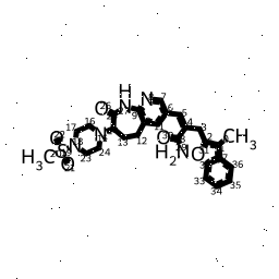 Cc1c(CC(=Cc2cnc3c(c2)CCC(N2CCN(S(C)(=O)=O)CC2)C(=O)N3)C(N)=O)oc2ccccc12